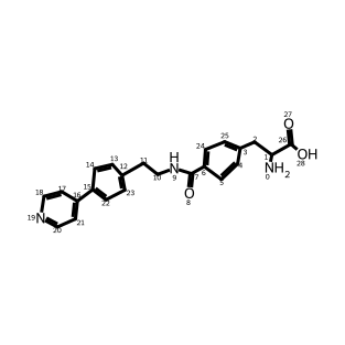 NC(Cc1ccc(C(=O)NCCc2ccc(-c3ccncc3)cc2)cc1)C(=O)O